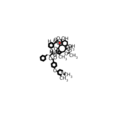 CC(=O)O[C@H]1C(=O)[C@@]2(C)C([C@@H]3OC(=O)c4ccccc4O[C@]34C[C@H](OC(=O)[C@@H](Cc3ccccc3)OC(=O)c3ccc(Oc5cc[n+](C)c(C)c5)cc3)C(C)=C1C4(C)C)[C@]1(OC(C)=O)CO[C@@H]1C[C@@H]2O